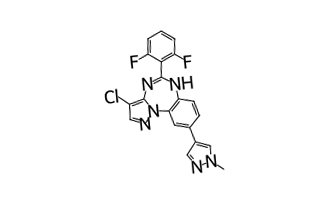 Cn1cc(-c2ccc3c(c2)-n2ncc(Cl)c2N=C(c2c(F)cccc2F)N3)cn1